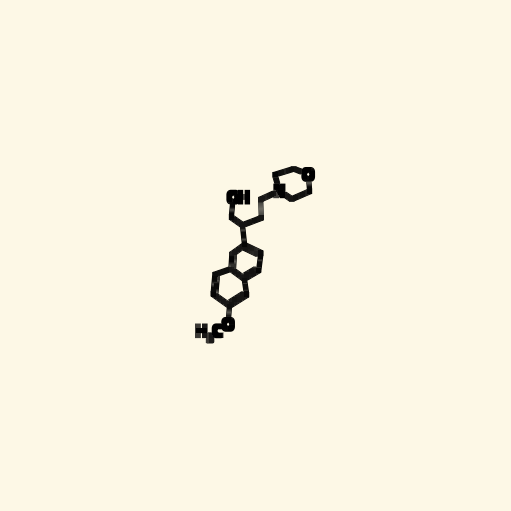 COc1ccc2cc(C(CO)CCN3CCOCC3)ccc2c1